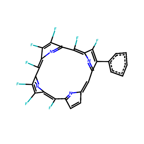 FC1=C(F)C2=C(F)C3=NC(=CC4=NC(=C(F)C5=NC(=C(F)C1=N2)C(F)=C5F)C(F)=C4c1ccccc1)C=C3